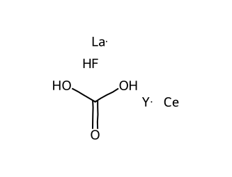 F.O=C(O)O.[Ce].[La].[Y]